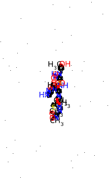 COc1cc(CN2CCN(C3CC4(CCN(c5ccc(C(=O)NS(=O)(=O)c6ccc(NCC7CCC(C)(O)CC7)c([N+](=O)[O-])c6)c(N6c7cc8cc[nH]c8nc7O[C@H]7COCC[C@@H]76)c5)CC4)C3)[C@H](c3sccc3C(C)C)C2)cnc1OC